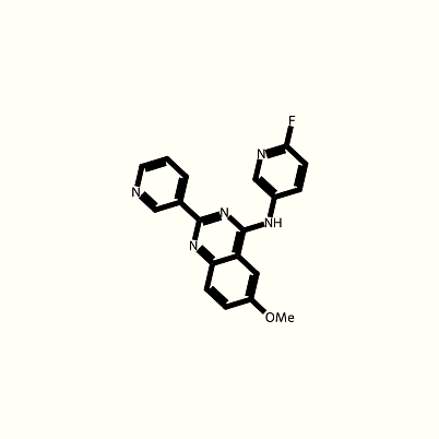 COc1ccc2nc(-c3cccnc3)nc(Nc3ccc(F)nc3)c2c1